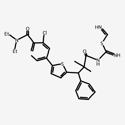 C=C(C(=O)N(CC)CC)/C(Cl)=C\C(=C/C)c1ccc(C(c2ccccc2)C(C)(C)C(=O)NC(=N)SC=N)s1